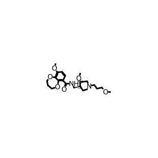 COCCCN1CC[C@@H](CNC(=O)c2ccc(OC)c3c2OCCCO3)[C@H](OC)C1